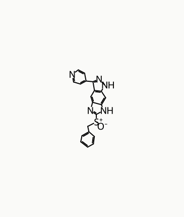 [O-][S+](Cc1ccccc1)c1nc2cc3c(-c4ccncc4)n[nH]c3cc2[nH]1